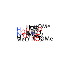 COC[C@@H]1[C@@H](O)[C@@H]2C[C@@H](O[C@@H]3C=C[C@@H]4[C@@H](COC)C(=O)O[C@H]([C@H](O)COC)[C@H](C)/C=C(\C)[C@@]432)[C@@H]1OC(=O)c1ccc[nH]1